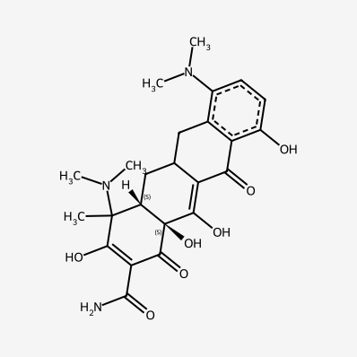 CN(C)c1ccc(O)c2c1CC1C[C@H]3C(C)(N(C)C)C(O)=C(C(N)=O)C(=O)[C@@]3(O)C(O)=C1C2=O